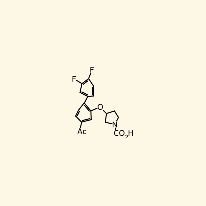 CC(=O)c1ccc(-c2ccc(F)c(F)c2)c(OC2CCN(C(=O)O)C2)c1